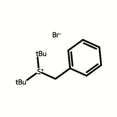 CC(C)(C)[S+](Cc1ccccc1)C(C)(C)C.[Br-]